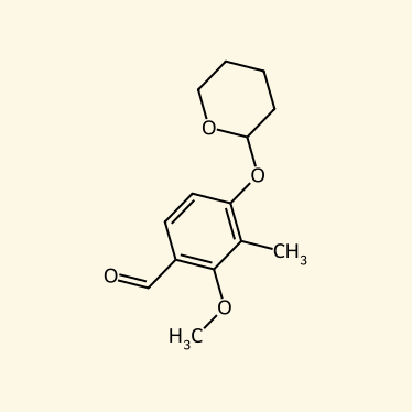 COc1c(C=O)ccc(OC2CCCCO2)c1C